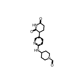 O=CN1CCC(Nc2ccc(C3CCC(=O)NC3=O)cn2)CC1